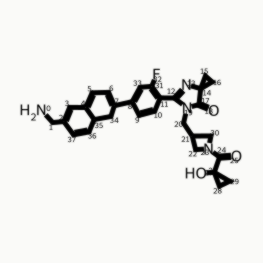 NCC1=CC2=CC=C(c3ccc(C4=NC5(CC5)C(=O)N4CC4CN(C(=O)C5(O)CC5)C4)c(F)c3)CC2C=C1